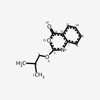 CC(C)COc1nc2ccccc2c(=O)o1